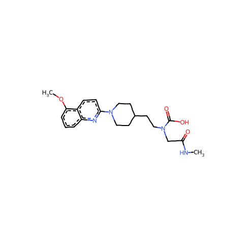 CNC(=O)CN(CCC1CCN(c2ccc3c(OC)cccc3n2)CC1)C(=O)O